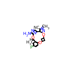 C[C@H]1Oc2nc(cnc2N)-c2c(nn(C)c2C#N)OC2CC(C2)Oc2ccc(F)cc21